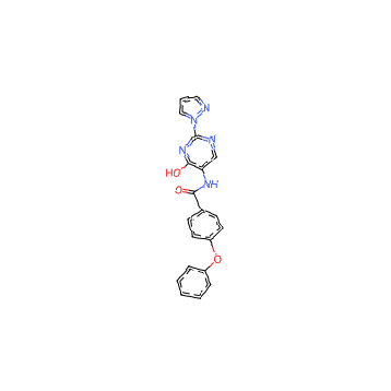 O=C(Nc1cnc(-n2cccn2)nc1O)c1ccc(Oc2ccccc2)cc1